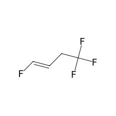 F/C=C/CC(F)(F)F